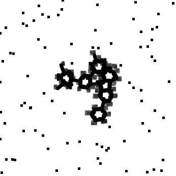 Cc1nc(C)nc(-c2ccc(-n3c4ccccc4c4ccc(-c5ccccc5)cc43)c(-c3nc(C)nc(C)n3)c2)n1